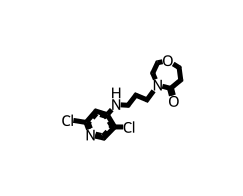 O=C1CCOCCN1CCCNc1cc(Cl)ncc1Cl